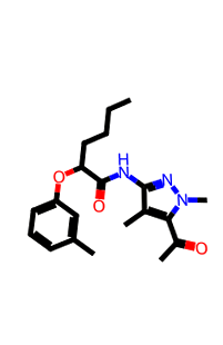 CCCCC(Oc1cccc(C)c1)C(=O)Nc1nn(C)c(C(C)=O)c1C